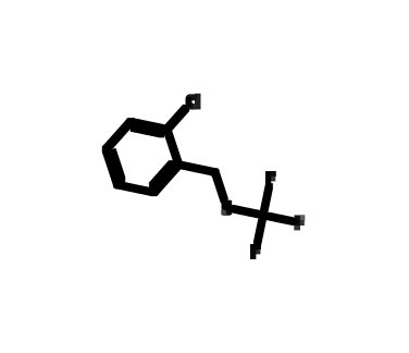 FC(F)(F)SCc1ccccc1Cl